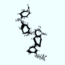 CC(=O)Nc1cccc(-c2ccc3c(c2)[C@H](Nc2ccc(NC4CCN(C)CC4)cc2)C[C@H](C)N3C(C)=O)c1